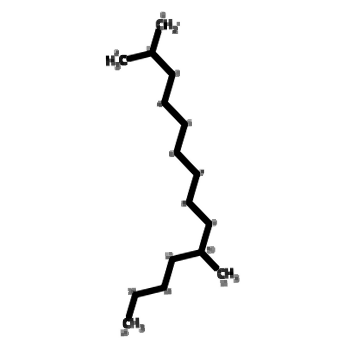 [CH2]C(C)CCCCCCCC(C)CCCC